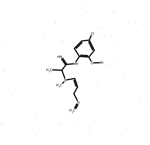 C=NC/C=C\N(C)C(C)C(=N)Nc1ccc(Cl)cc1OC(C)C